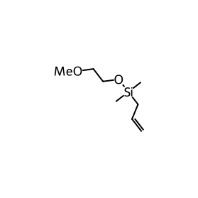 C=CC[Si](C)(C)OCCOC